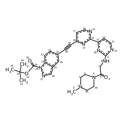 CN1CCN(C(=O)CNc2nccc(-c3nccc(C#Cc4ccc5c(cnn5C(=O)OC(C)(C)C)c4)n3)n2)CC1